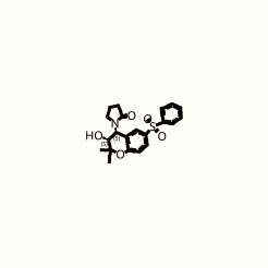 CC1(C)Oc2ccc(S(=O)(=O)c3ccccc3)cc2[C@H](N2CCCC2=O)[C@@H]1O